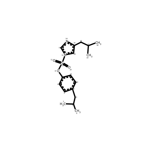 CC(C)Cc1ccc(OS(=O)(=O)n2cnc(CC(C)C)c2)cc1